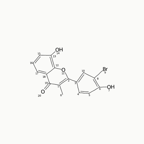 Cc1c(-c2ccc(O)c(Br)c2)oc2c(O)cccc2c1=O